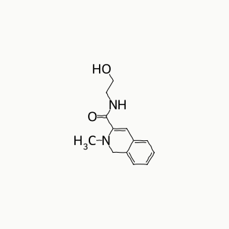 CN1Cc2ccccc2C=C1C(=O)NCCO